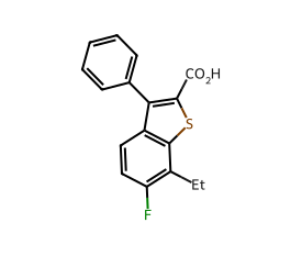 CCc1c(F)ccc2c(-c3ccccc3)c(C(=O)O)sc12